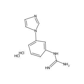 Cl.Cl.N=C(N)Nc1cccc(-n2ccnc2)c1